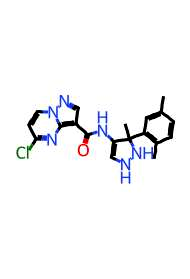 Cc1ccc(C)c(C2(C)NNC=C2NC(=O)c2cnn3ccc(Cl)nc23)c1